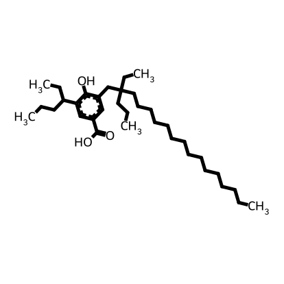 CCCCCCCCCCCCCCCC(CC)(CCC)Cc1cc(C(=O)O)cc(C(CC)CCC)c1O